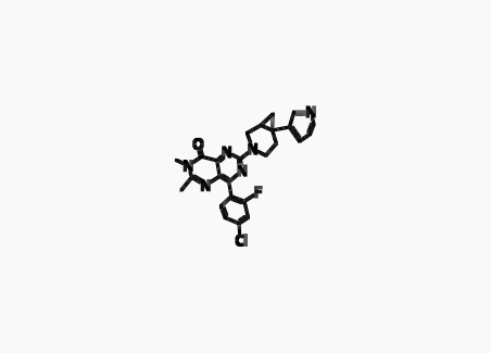 Cc1nc2c(-c3ccc(Cl)cc3F)nc(N3CCC4(c5cccnc5)CC4C3)nc2c(=O)n1C